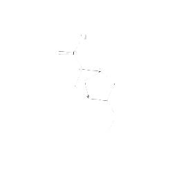 CCCSC1CC2CC1CC2C(N)=O